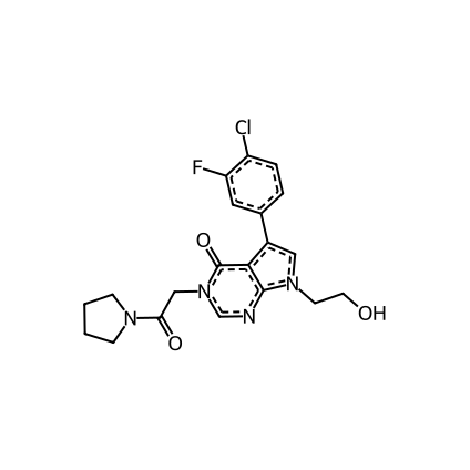 O=C(Cn1cnc2c(c(-c3ccc(Cl)c(F)c3)cn2CCO)c1=O)N1CCCC1